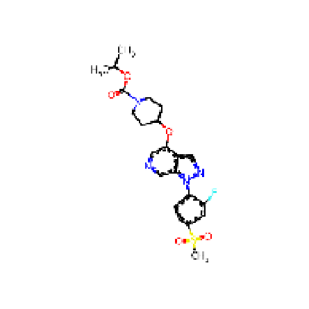 CC(C)OC(=O)N1CCC(Oc2cncc3c2cnn3-c2ccc(S(C)(=O)=O)cc2F)CC1